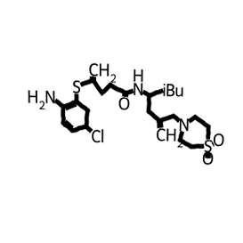 C=C(CC(NC(=O)CCC(=C)SC1=C(N)C=CC(Cl)C1)C(C)CC)CN1CCS(=O)(=O)CC1